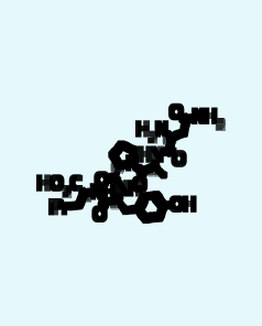 CC(C)C[C@H](NC(=O)[C@H](Cc1ccc(O)cc1)NC(=O)[C@@H]1CCCN1C(=O)[C@H](C)NC(=O)[C@@H](N)CC(N)=O)C(=O)O